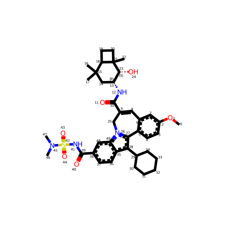 COc1ccc2c(c1)C=C(C(=O)N[C@@H]1CC(C)(C)C3CCC3(C)[C@@H]1O)Cn1c-2c(C2CCCCC2)c2ccc(C(=O)NS(=O)(=O)N(C)C)cc21